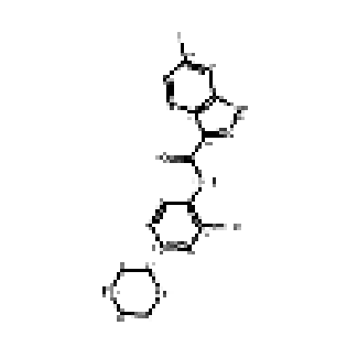 O=C(Nc1ccc([C@H]2CNCCO2)cc1F)c1n[nH]c2cc(F)ccc12